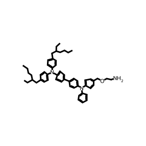 CCCCC(CC)Cc1ccc(N(c2ccc(CC(CC)CCCC)cc2)c2ccc(-c3ccc(N(c4ccccc4)c4ccc(COCCN)cc4)cc3)cc2)cc1